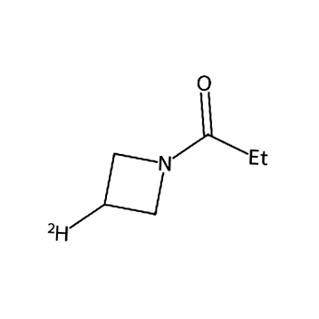 [2H]C1CN(C(=O)CC)C1